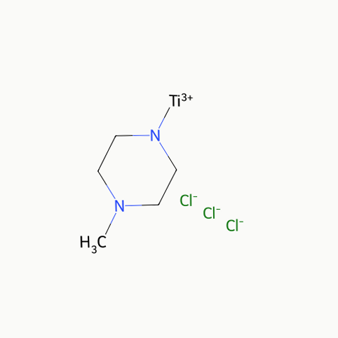 CN1CC[N]([Ti+3])CC1.[Cl-].[Cl-].[Cl-]